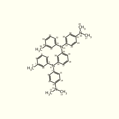 Cc1cccc(N(c2ccc(N(C)C)cc2)c2cccc(N(c3ccc(N(C)C)cc3)c3cccc(C)c3)c2)c1